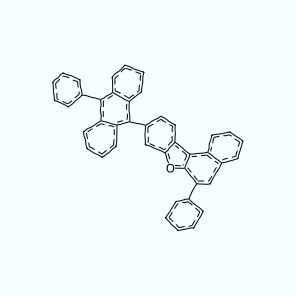 c1ccc(-c2c3ccccc3c(-c3ccc4c(c3)oc3c(-c5ccccc5)cc5ccccc5c34)c3ccccc23)cc1